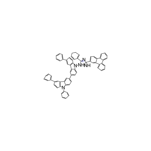 N=C(/N=C(\Nn1c2ccc(-c3ccccc3)cc2c2cc(-c3ccc4c(c3)c3cc(-c5ccccc5)ccc3n4-c3ccccc3)ccc21)C1=CCCC=C1)c1ccc2c3ccccc3c3ccccc3c2c1